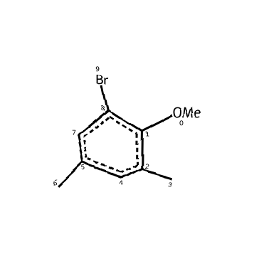 COc1c(C)cc(C)cc1Br